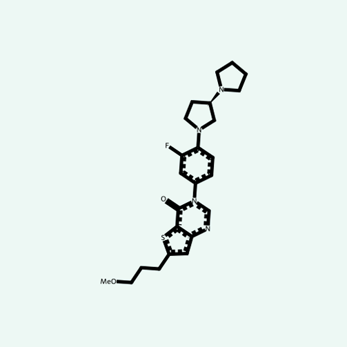 COCCCc1cc2ncn(-c3ccc(N4CC[C@@H](N5CCCC5)C4)c(F)c3)c(=O)c2s1